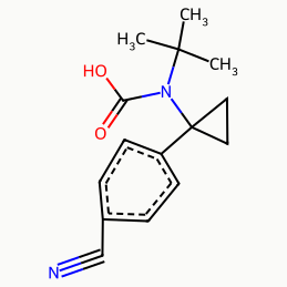 CC(C)(C)N(C(=O)O)C1(c2ccc(C#N)cc2)CC1